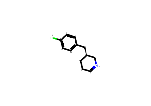 Clc1ccc(C[C@@H]2CCC=NC2)cc1